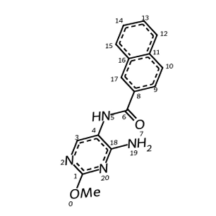 COc1ncc(NC(=O)c2ccc3ccccc3c2)c(N)n1